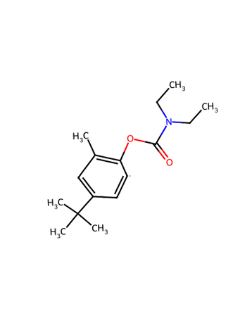 CCN(CC)C(=O)Oc1[c]cc(C(C)(C)C)cc1C